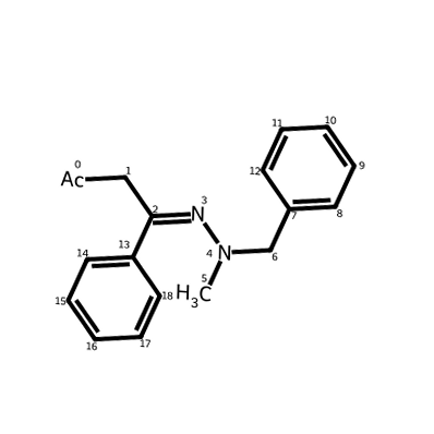 CC(=O)CC(=NN(C)Cc1ccccc1)c1ccccc1